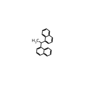 CC(c1cccc2ccccc12)c1cccc2ccccc12